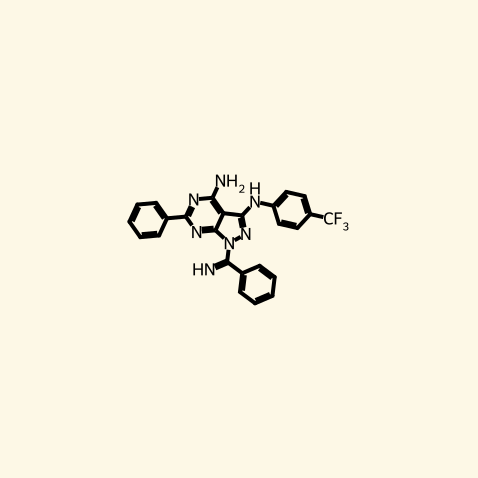 N=C(c1ccccc1)n1nc(Nc2ccc(C(F)(F)F)cc2)c2c(N)nc(-c3ccccc3)nc21